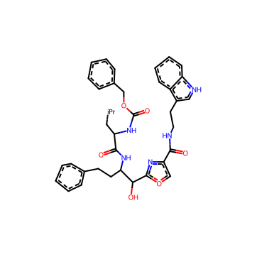 CC(C)CC(NC(=O)OCc1ccccc1)C(=O)NC(CCc1ccccc1)C(O)c1nc(C(=O)NCCc2c[nH]c3ccccc23)co1